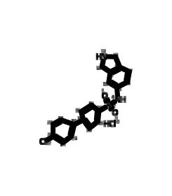 Cl.O=S(=O)(Nc1ccc2c(c1)CNC2)c1ccc(-c2ccc(Cl)cc2)cc1